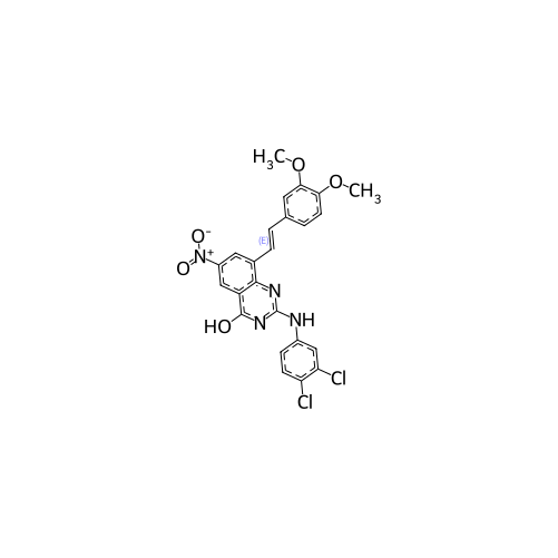 COc1ccc(/C=C/c2cc([N+](=O)[O-])cc3c(O)nc(Nc4ccc(Cl)c(Cl)c4)nc23)cc1OC